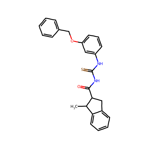 CC1c2ccccc2CC1C(=O)NC(=S)Nc1cccc(OCc2ccccc2)c1